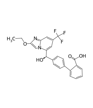 CCOc1cn2c([C@H](O)c3ccc(-c4ccccc4C(=O)O)cc3)cc(C(F)(F)F)cc2n1